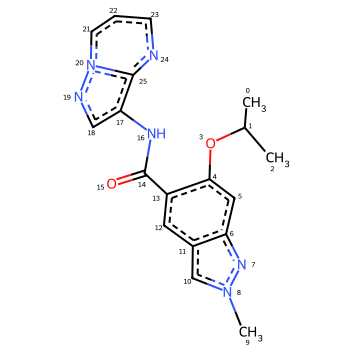 CC(C)Oc1cc2nn(C)cc2cc1C(=O)Nc1cnn2cccnc12